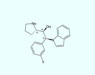 O[C@H]([C@@H]1CCCN1)[C@H](c1cccc(F)c1)n1ccc2ccccc21